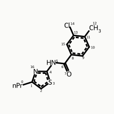 CCCc1csc(NC(=O)c2ccc(C)c(Cl)c2)n1